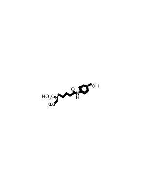 CC(C)(C)CN(CCCCC(=O)Nc1ccc(CO)cc1)C(=O)O